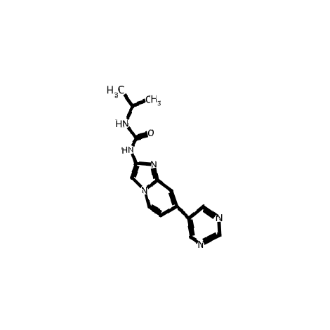 CC(C)NC(=O)Nc1cn2ccc(-c3cncnc3)cc2n1